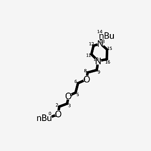 CCCCOCCOCCOCCN1CCN(CCCC)CC1